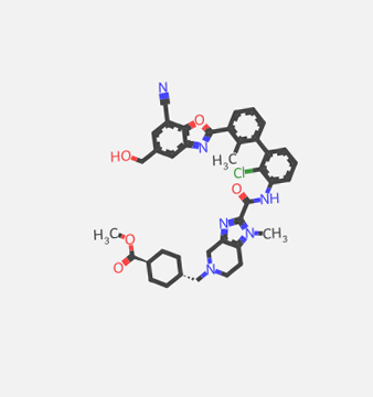 COC(=O)[C@H]1CC[C@H](CN2CCc3c(nc(C(=O)Nc4cccc(-c5cccc(-c6nc7cc(CO)cc(C#N)c7o6)c5C)c4Cl)n3C)C2)CC1